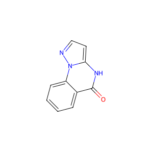 O=c1[nH]c2ccnn2c2ccccc12